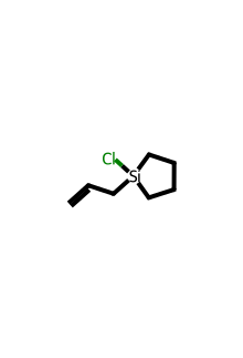 C=CC[Si]1(Cl)CCCC1